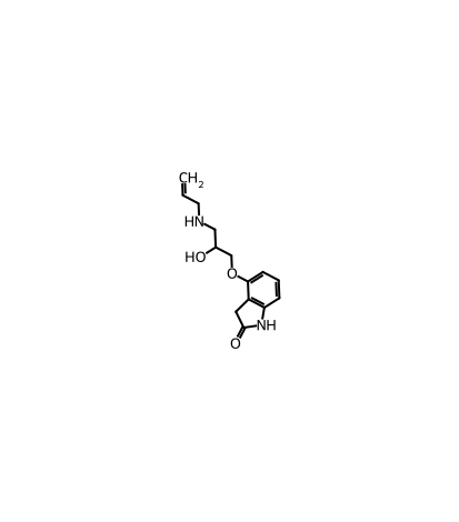 C=CCNCC(O)COc1cccc2c1CC(=O)N2